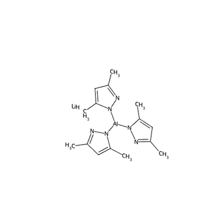 Cc1cc(C)[n]([Al]([n]2nc(C)cc2C)[n]2nc(C)cc2C)n1.[LiH]